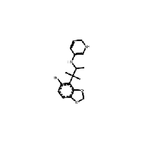 CC(NC1=CNCC=C1)C(C)(C)c1c(Br)ccc2c1OCO2